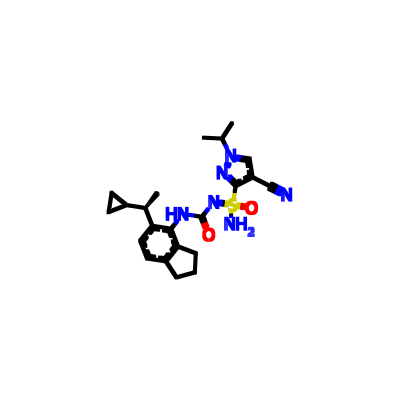 CC(C)n1cc(C#N)c(S(N)(=O)=NC(=O)Nc2c([C@H](C)C3CC3)ccc3c2CCC3)n1